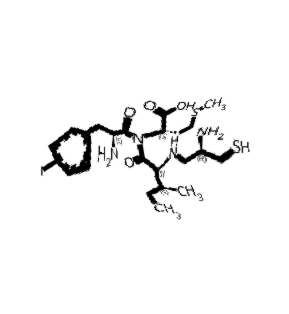 CC[C@H](C)[C@H](NC[C@@H](N)CS)C(=O)N(C(=O)[C@@H](N)Cc1ccc(I)cc1)[C@@H](CCSC)C(=O)O